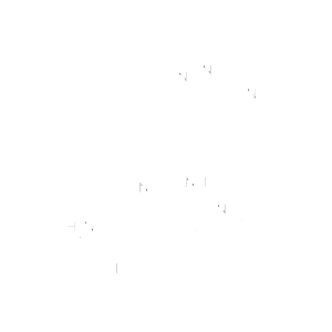 C=C(N)C1=CC(F)=C(N)CN=C1Nc1ccc2c(c1)c(N(C)C)nn2C